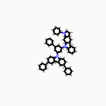 c1ccc(-c2cc(-n3c4ccc(-c5ccccc5)cc4c4cc(-c5ccccc5)ccc43)cc(-n3c4ccccc4c4cc5ccn(-c6ccccc6)c5cc43)c2)cc1